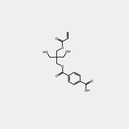 C=CC(=O)OCC(CO)(CO)COC(=O)c1ccc(C(=O)O)cc1